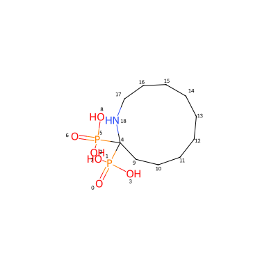 O=P(O)(O)C1(P(=O)(O)O)CCCCCCCCCN1